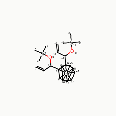 C=CC(O[Si](C)(C)C)[C]12[CH]3[CH]4[CH]5[C]1(C(C=C)O[Si](C)(C)C)[Fe]43521678[CH]2[CH]1[CH]6[CH]7[CH]28